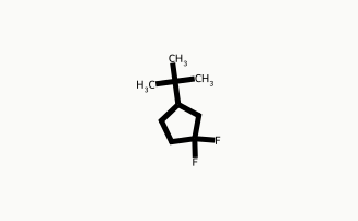 CC(C)(C)C1CCC(F)(F)C1